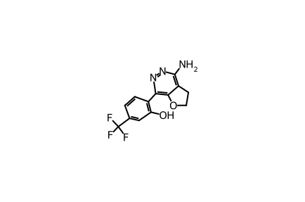 Nc1nnc(-c2ccc(C(F)(F)F)cc2O)c2c1CCO2